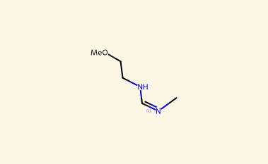 C/N=C\NCCOC